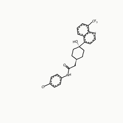 O=C(C[C@H]1CC[C@@](O)(c2ccnc3c(C(F)(F)F)cccc32)CC1)Nc1ccc(Cl)cc1